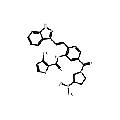 Cc1ccsc1C(=O)Nc1cc(C(=O)N2CCC(N(C)C)C2)ccc1C=Cc1n[nH]c2ccccc12